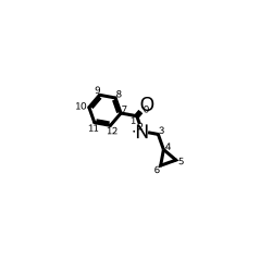 O=C([N]CC1CC1)c1ccccc1